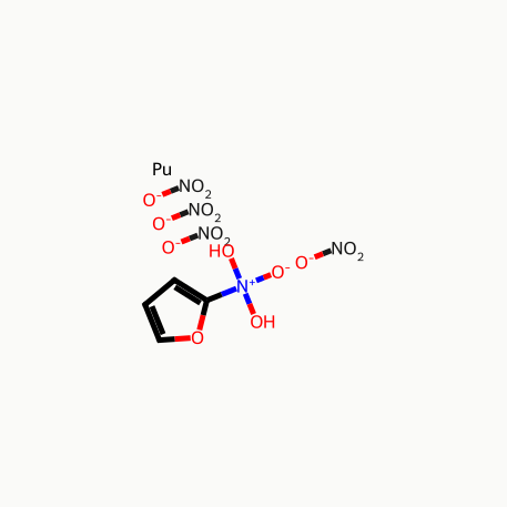 O=[N+]([O-])[O-].O=[N+]([O-])[O-].O=[N+]([O-])[O-].O=[N+]([O-])[O-].[O-][N+](O)(O)c1ccco1.[Pu]